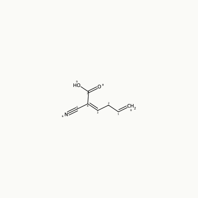 C=CCC=C(C#N)C(=O)O